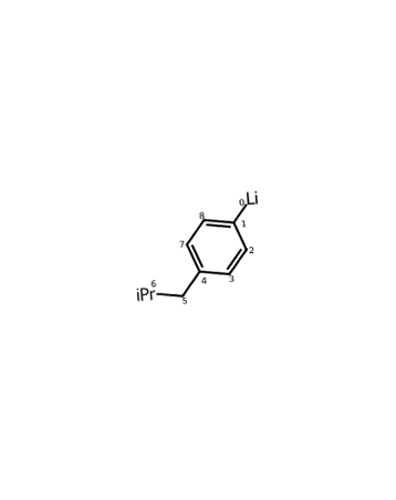 [Li][c]1ccc(CC(C)C)cc1